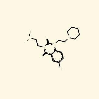 CN(C)CCn1c(=O)c2cc(N)ccc2n(CCN2CCCCC2)c1=O